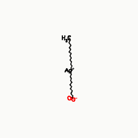 CCCCCCCCCCCCCCCCCCCCCCCCCCCCC(=O)[O-].[Ag+]